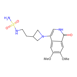 COc1cc2c(N3CC(CCNS(N)(=O)=O)C3)c[nH]c(=O)c2cc1OC